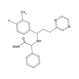 CNC(=O)C(NC(CCc1cnccn1)c1ccc(F)c(C)c1)c1ccccc1